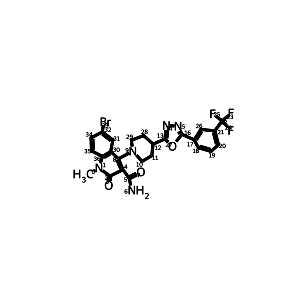 Cn1c(=O)c(C(N)=O)c(N2CCC(c3nnc(-c4cccc(C(F)(F)F)c4)o3)CC2)c2cc(Br)ccc21